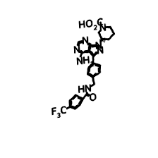 Nc1ncnc2c1c(-c1ccc(CNC(=O)c3ccc(C(F)(F)F)cc3)cc1)nn2[C@@H]1CCCN(C(=O)O)C1